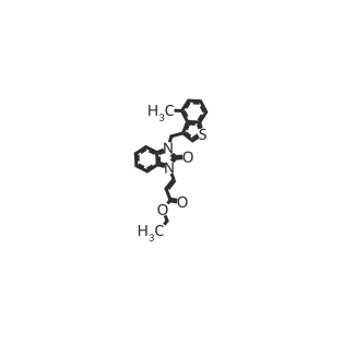 CCOC(=O)C=Cn1c(=O)n(Cc2csc3cccc(C)c23)c2ccccc21